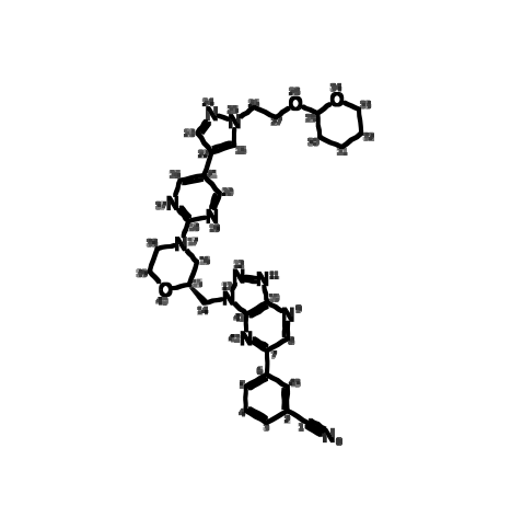 N#Cc1cccc(-c2cnc3nnn(C[C@@H]4CN(c5ncc(-c6cnn(CCOC7CCCCO7)c6)cn5)CCO4)c3n2)c1